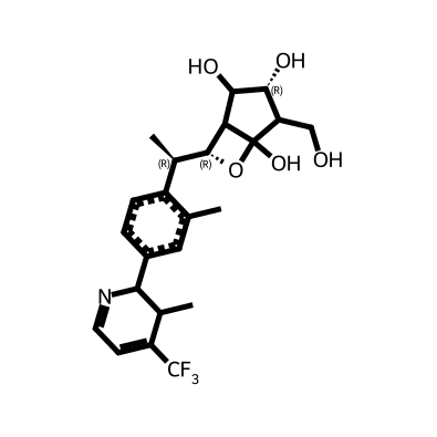 Cc1cc(C2N=CC=C(C(F)(F)F)C2C)ccc1[C@@H](C)[C@H]1OC2(O)C(CO)[C@@H](O)C(O)C12